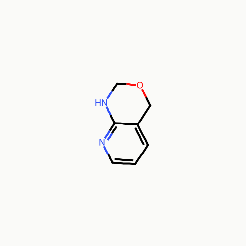 c1cnc2c(c1)COCN2